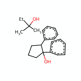 CCC(C)(C)O.OC1(c2ccccc2)CCCC1c1ccccc1